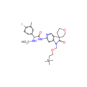 Cc1cc(C(NC(=O)O)C(=O)Nc2cc3c(cn2)C2(CCOCC2)C(=O)N3COCC[Si](C)(C)C)ccc1F